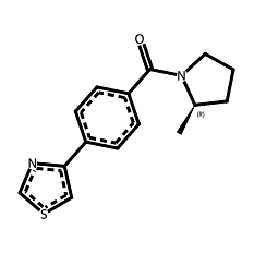 C[C@@H]1CCCN1C(=O)c1ccc(-c2cscn2)cc1